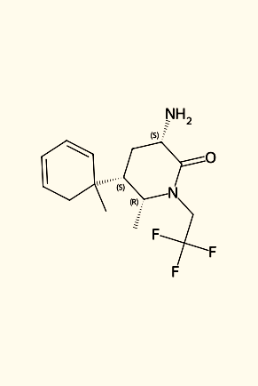 C[C@@H]1[C@H](C2(C)C=CC=CC2)C[C@H](N)C(=O)N1CC(F)(F)F